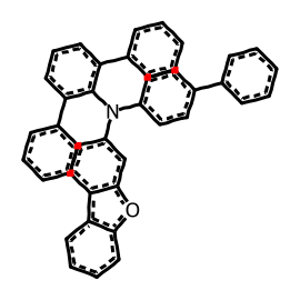 c1ccc(-c2ccc(N(c3ccc4c(c3)oc3ccccc34)c3c(-c4ccccc4)cccc3-c3ccccc3)cc2)cc1